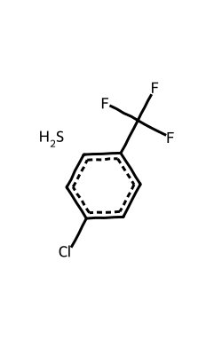 FC(F)(F)c1ccc(Cl)cc1.S